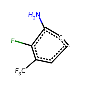 Nc1c[c]cc(C(F)(F)F)c1F